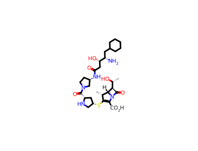 C[C@@H](O)[C@H]1C(=O)N2C(C(=O)O)=C(S[C@@H]3CN[C@H](C(=O)N4CC[C@H](NC(=O)C[C@H](O)[C@@H](N)CC5CCCCC5)C4)C3)[C@H](C)[C@H]12